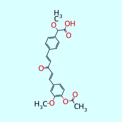 COc1cc(C=CC(=O)C=Cc2ccc(C(OC)C(=O)O)cc2)ccc1OC(C)=O